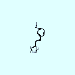 CSc1cccc(C=Cc2ncon2)c1